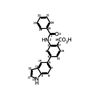 O=C(Nc1cc(-c2ccc3[nH]ccc3c2)ccc1C(=O)O)c1ccccc1